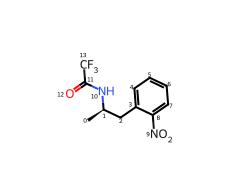 C[C@H](Cc1ccccc1[N+](=O)[O-])NC(=O)C(F)(F)F